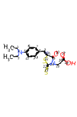 CCN(CC)c1ccc(/C=C2\SC(=S)N(CC(=O)O)C2=O)cc1